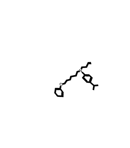 C=CCCN(CCCCCCOC1=CC[CH]C=C1)c1ccc(C(C)C)cc1